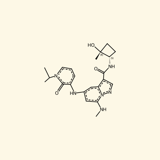 CNc1cc(Nc2cccn(C(C)C)c2=O)cc2c(C(=O)N[C@H]3CC[C@@]3(C)O)cnn12